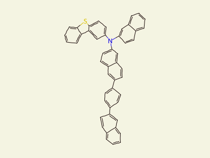 c1ccc2cc(-c3ccc(-c4ccc5cc(N(c6ccc7ccccc7c6)c6ccc7sc8ccccc8c7c6)ccc5c4)cc3)ccc2c1